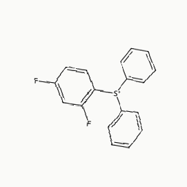 Fc1ccc([S+](c2ccccc2)c2ccccc2)c(F)c1